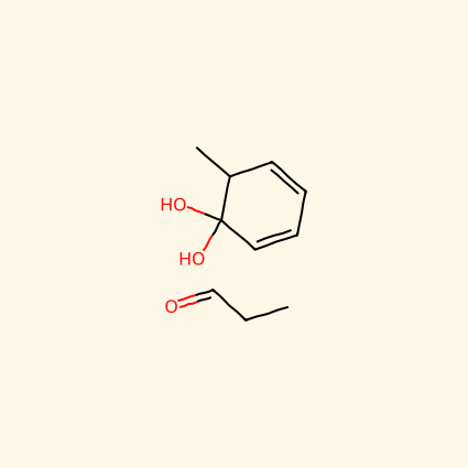 CC1C=CC=CC1(O)O.CCC=O